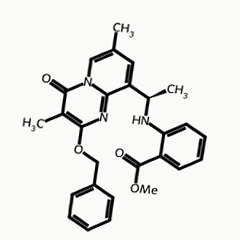 COC(=O)c1ccccc1N[C@H](C)c1cc(C)cn2c(=O)c(C)c(OCc3ccccc3)nc12